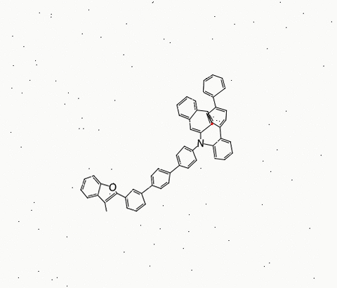 Cc1c(-c2cccc(-c3ccc(-c4ccc(N(c5ccc6ccccc6c5)c5ccccc5-c5ccc(-c6ccccc6)cc5)cc4)cc3)c2)oc2ccccc12